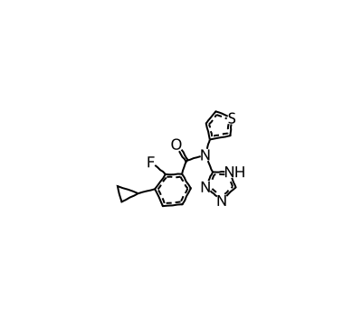 O=C(c1cccc(C2CC2)c1F)N(c1ccsc1)c1nnc[nH]1